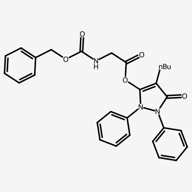 CCCCc1c(OC(=O)CNC(=O)OCc2ccccc2)n(-c2ccccc2)n(-c2ccccc2)c1=O